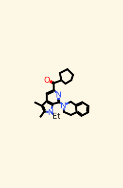 CCn1c(C)c(C)c2cc(C(=O)C3CCCCC3)nc(N3CCc4ccccc4C3)c21